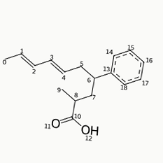 CC=CC=CCC(CC(C)C(=O)O)c1ccccc1